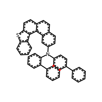 c1ccc(-c2ccc(N(c3ccc4ccc5ccc6sc7ccccc7c6c5c4c3)c3ccccc3-c3ccccc3)cc2)cc1